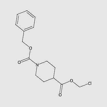 O=C(OCCl)C1CCN(C(=O)OCc2ccccc2)CC1